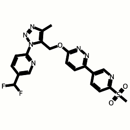 Cc1nnn(-c2ccc(C(F)F)cn2)c1COc1ccc(-c2ccc(S(C)(=O)=O)nc2)nn1